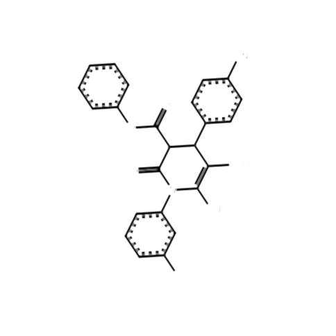 CCOC(=O)C1=C(C)N(c2cccc(C(F)(F)F)c2)C(=O)C(C(=O)Oc2ccccc2)C1c1ccc(C#N)cc1